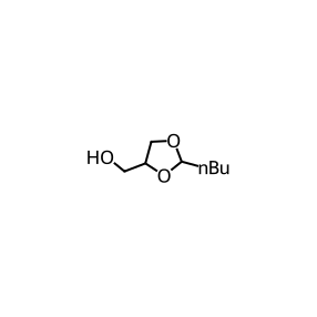 CCCCC1OCC(CO)O1